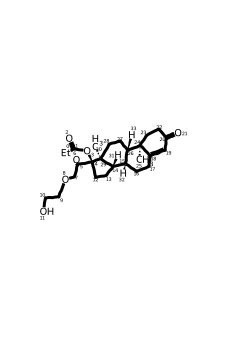 CCC(=O)O[C@]1(C(=O)COCCO)CC[C@H]2[C@@H]3CCC4=CC(=O)CC[C@]4(C)[C@H]3CC[C@@]21C